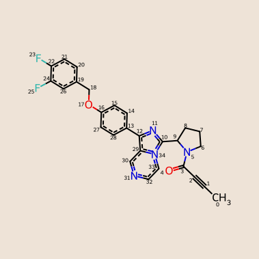 CC#CC(=O)N1CCCC1c1nc(-c2ccc(OCc3ccc(F)c(F)c3)cc2)c2cnccn12